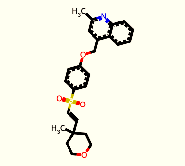 Cc1cc(COc2ccc(S(=O)(=O)C=CC3(C)CCOCC3)cc2)c2ccccc2n1